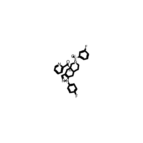 O=C(c1ccccn1)[C@]12Cc3cnn(-c4ccc(F)cc4)c3CC1CCN([S+]([O-])c1cccc(F)c1)C2